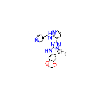 Cn1nc(-c2cccnc2NCc2ccncc2)nc1Nc1ccc2c(c1)OCCO2